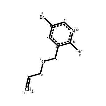 C=CCOCc1cc(Br)cnc1Br